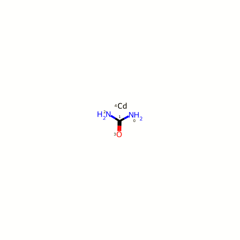 NC(N)=O.[Cd]